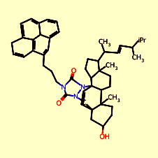 CC(C)C(C)/C=C/C(C)C1CCC2C1(C)CCC1C23C=CC2(CC(O)CCC12C)Cn1c(=O)n(CCCC2=CC4=CC=CC5=CC=C6CC=CC2=C6C54)c(=O)n13